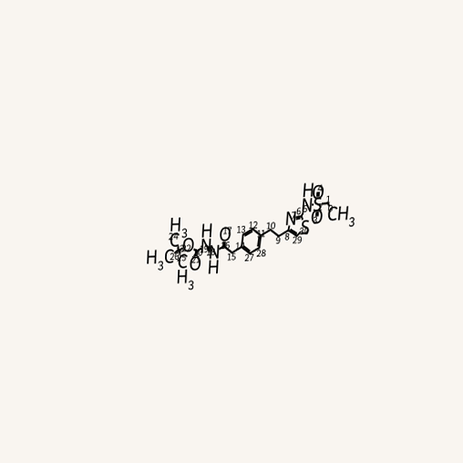 CCS(=O)(=O)Nc1nc(CCc2ccc(CC(=O)NNC(=O)OC(C)(C)C)cc2)cs1